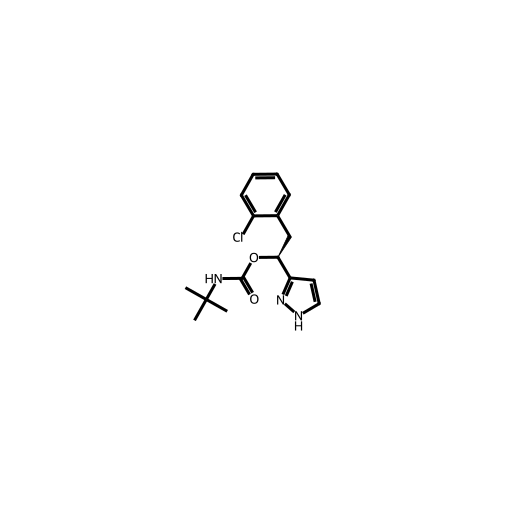 CC(C)(C)NC(=O)O[C@@H](Cc1ccccc1Cl)c1cc[nH]n1